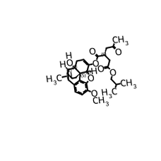 COc1ccc2c3c1O[C@H]1C(OC(=O)[C@@H](CC(C)=O)CC(=O)OCC(C)C)=CC[C@@]4(O)[C@@H](C2)N(C)CC[C@]314